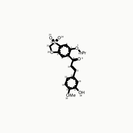 CCCOc1cc2c(cc1C(=O)C=Cc1ccc(OC)c(O)c1)OCS2(=O)=O